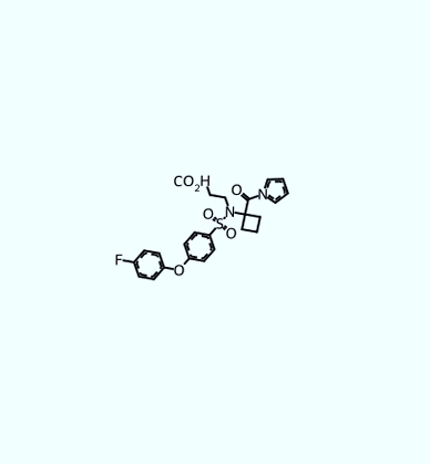 O=C(O)CCN(C1(C(=O)n2cccc2)CCC1)S(=O)(=O)c1ccc(Oc2ccc(F)cc2)cc1